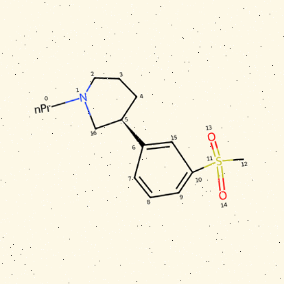 CCCN1CCC[C@@H](c2cccc(S(C)(=O)=O)c2)C1